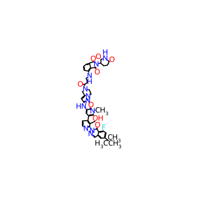 Cn1cc(-c2ccnc(-n3ncc4cc(C(C)(C)C)cc(F)c4c3=O)c2CO)cc(Nc2cc3n(n2)CCN(C(=O)CCNc2cccc4c2C(=O)N(C2CCC(=O)NC2=O)C4=O)C3)c1=O